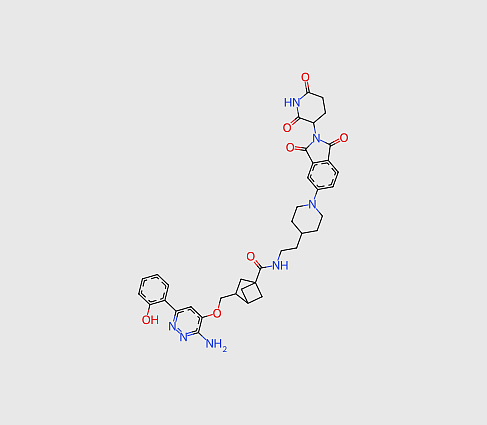 Nc1nnc(-c2ccccc2O)cc1OCC1CC2(C(=O)NCCC3CCN(c4ccc5c(c4)C(=O)N(C4CCC(=O)NC4=O)C5=O)CC3)CC1C2